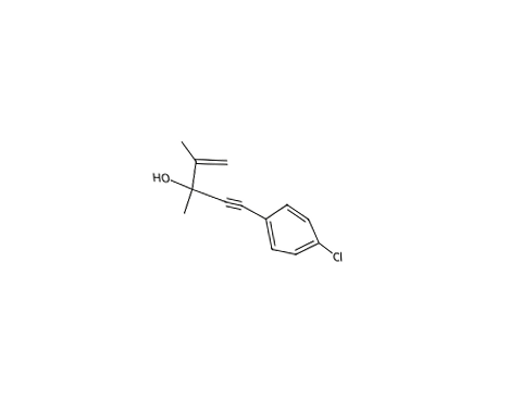 C=C(C)C(C)(O)C#Cc1ccc(Cl)cc1